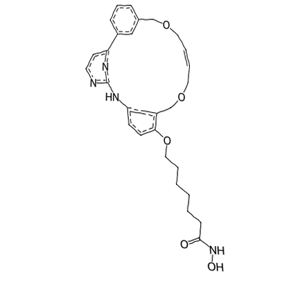 O=C(CCCCCCOc1ccc2cc1COCC=CCOCc1cccc(c1)-c1ccnc(n1)N2)NO